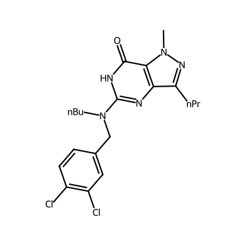 CCCCN(Cc1ccc(Cl)c(Cl)c1)c1nc2c(CCC)nn(C)c2c(=O)[nH]1